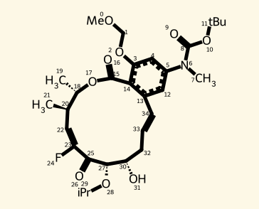 COCOc1cc(N(C)C(=O)OC(C)(C)C)cc2c1C(=O)O[C@@H](C)[C@H](C)/C=C(/F)C(=O)[C@@H](OC(C)C)[C@@H](O)C/C=C/2